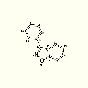 c1ccc(-c2noc3ccccc23)cc1